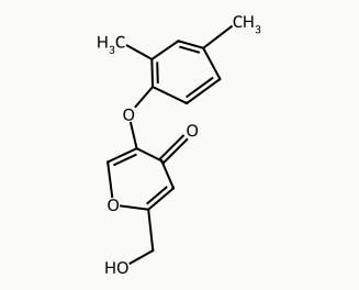 Cc1ccc(Oc2coc(CO)cc2=O)c(C)c1